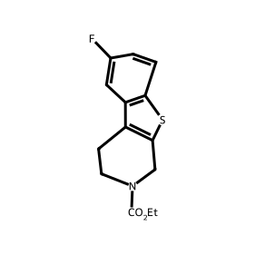 CCOC(=O)N1CCc2c(sc3ccc(F)cc23)C1